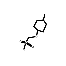 CC1CCC(OCS(N)(=O)=O)CC1